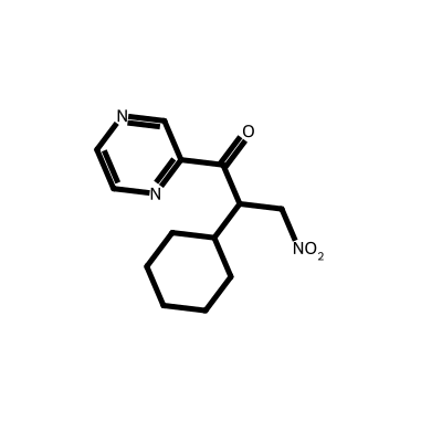 O=C(c1cnccn1)C(C[N+](=O)[O-])C1CCCCC1